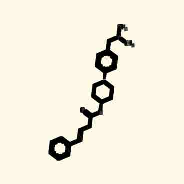 CN(C)Cc1ccc([C@H]2CC[C@H](OC(=O)CC=Cc3ccccc3)CC2)cc1